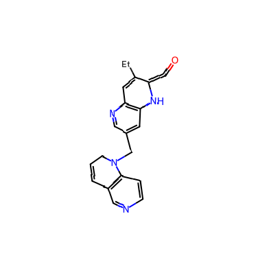 CCC1=Cc2ncc(CN3CC=Cc4cnccc43)cc2NC1=C=O